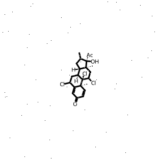 CC(=O)[C@@]1(O)C(C)C[C@H]2[C@@H]3CC(Cl)C4=CC(=O)C=C[C@]4(C)[C@@]3(Cl)C(Cl)C[C@@]21C